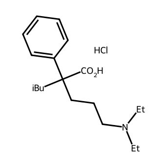 CCC(C)C(CCCN(CC)CC)(C(=O)O)c1ccccc1.Cl